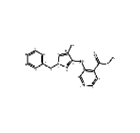 COC(=O)c1ccncc1Nc1nn(Cc2ccccc2)cc1C